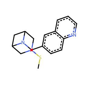 CSN1CC2CC(C1)N2Cc1ccc2ncccc2c1